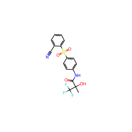 CC(O)(C(=O)Nc1ccc(S(=O)(=O)c2ccccc2C#N)cc1)C(F)(F)F